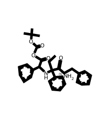 CCC(NC(C(=O)OC(=O)OC(C)(C)C)c1ccccc1)(C(=O)[C@@H](N)Cc1ccccc1)c1ccccc1